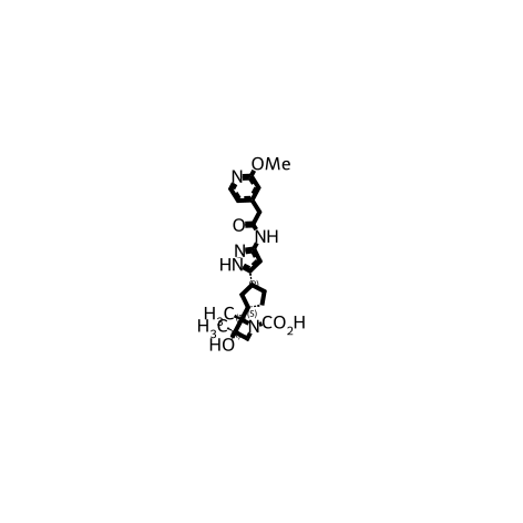 COc1cc(CC(=O)Nc2cc([C@@H]3CC[C@H]([C@]4(C)N(C(=O)O)C[C@@]4(C)O)C3)[nH]n2)ccn1